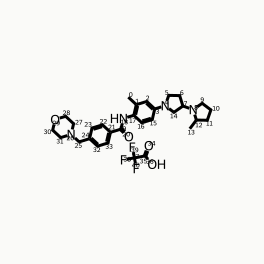 Cc1cc(N2CCC(N3CCCC3C)C2)ccc1NC(=O)c1ccc(CN2CCOCC2)cc1.O=C(O)C(F)(F)F